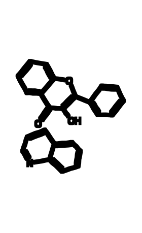 O=c1c(O)c(-c2ccccc2)oc2ccccc12.c1ccc2ncccc2c1